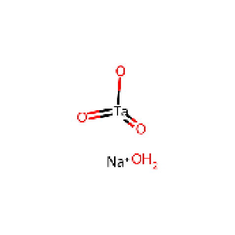 O.[Na+].[O]=[Ta](=[O])[O-]